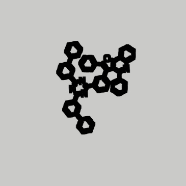 c1ccc(-c2cccc(-c3nc(-c4cccc(-c5ccccc5)c4)nc(-c4cccc(-c5c(-c6ccccc6)oc6c5c(-c5ccccc5)nc5ccccc56)c4)n3)c2)cc1